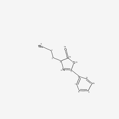 CC(C)(C)CCC1N=C(c2ccccc2)OC1=O